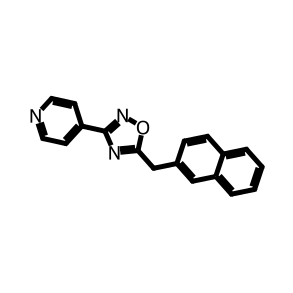 c1ccc2cc(Cc3nc(-c4ccncc4)no3)ccc2c1